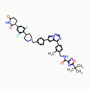 Cc1cc(-c2ncnn3cc(-c4ccc(CN5CCC(c6c(F)cc([C@@H]7CCC(=O)NC7=O)cc6F)CC5)cc4)cc23)ccc1CNC(=O)c1noc(C(C)(C)C)n1